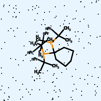 CCCC(C)(C)P(C(C)(C)CCC)C1(P(C(C)(C)CCC)C(C)(C)CCC)CCCCC1